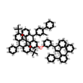 Cc1cc(C2c3ccccc3C3(c4ccc(Oc5cccc(C6C=C(c7c(-c8ccccc8)cccc7-c7ccccc7)c7ccccc76)c5)cc42)c2cc(C(C)(C)C)ccc2C(c2ccccc2)c2ccc(C(C)(C)C)cc23)ccc1-c1ccccc1